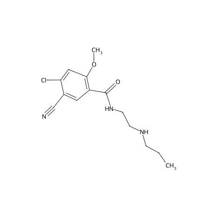 CCCNCCNC(=O)c1cc(C#N)c(Cl)cc1OC